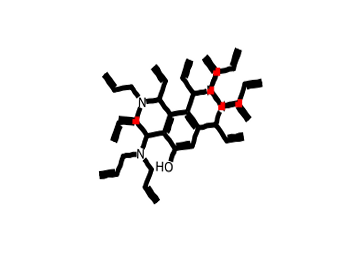 C=CCN(CC=C)C(C=C)c1cc(O)c(C(C=C)N(CC=C)CC=C)c(C(C=C)N(CC=C)CC=C)c1C(C=C)N(CC=C)CC=C